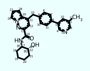 Cc1cncc(-c2ccc(Cc3cc(C(=O)N[C@@H]4CCCC[C@H]4O)nn4cccc34)cc2)c1